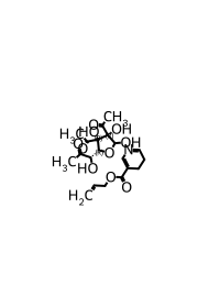 C=CCOC(=O)C1=CN=CCC1.CC(=O)C(O)[C@H]1OC(O)[C@@](O)(C(C)=O)[C@@]1(O)C(C)=O